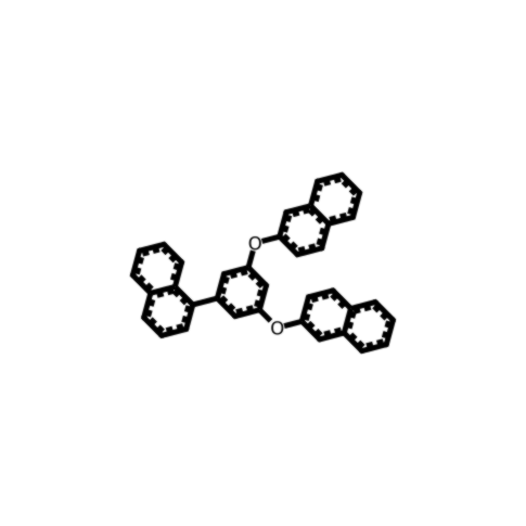 c1ccc2cc(Oc3cc(Oc4ccc5ccccc5c4)cc(-c4cccc5ccccc45)c3)ccc2c1